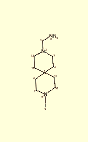 NCN1CCC2(CCN(I)CC2)CC1